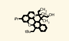 C=CC1(C)[n+]2ccc3cc(C(C)C)cc4c3c2-c2c(c(CC(C)(C)C)c3ccccc3c2C1(C)CCO)O4